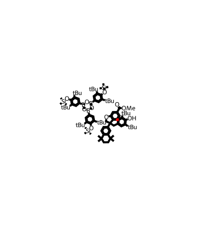 CC(C)(C)c1cc(B2OB(c3cc(C(C)(C)C)c(O[Si](C)(C)C)c(C(C)(C)C)c3)OB(c3cc(C(C)(C)C)c(O[Si](C)(C)C)c(C(C)(C)C)c3)O2)cc(C(C)(C)C)c1O[Si](C)(C)C.COC(=O)c1ccc2c(c1)OCC2(Cc1cc(C(C)(C)C)c(O)c(C(C)(C)C)c1)c1ccc2c(c1)C(C)(C)CCC2(C)C